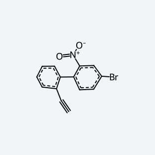 C#Cc1ccccc1-c1ccc(Br)cc1[N+](=O)[O-]